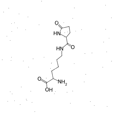 NC(CCCCNC(=O)C1CCC(=O)N1)C(=O)O